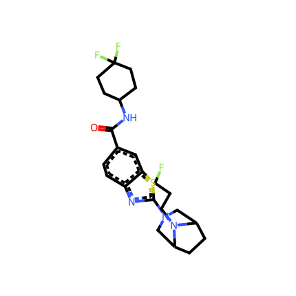 O=C(NC1CCC(F)(F)CC1)c1ccc2nc(N3CC4CCC(C3)N4CCCF)sc2c1